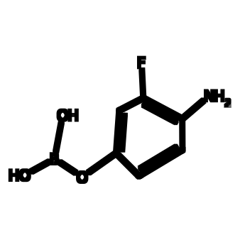 Nc1ccc(OB(O)O)cc1F